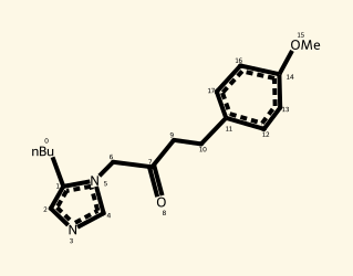 CCCCc1cncn1CC(=O)CCc1ccc(OC)cc1